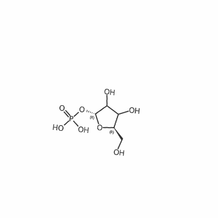 O=P(O)(O)O[C@H]1O[C@H](CO)C(O)C1O